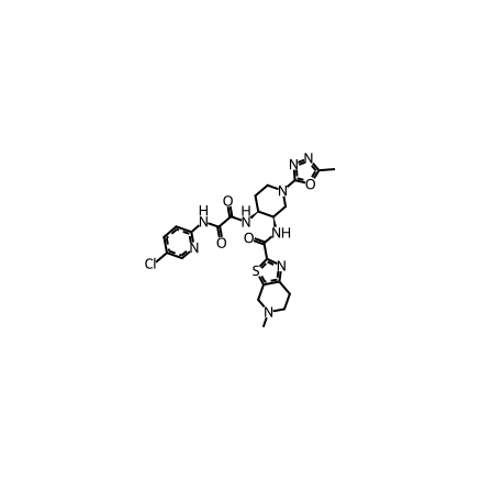 Cc1nnc(N2CC[C@H](NC(=O)C(=O)Nc3ccc(Cl)cn3)[C@H](NC(=O)c3nc4c(s3)CN(C)CC4)C2)o1